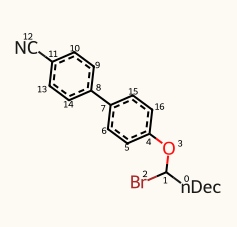 CCCCCCCCCCC(Br)Oc1ccc(-c2ccc(C#N)cc2)cc1